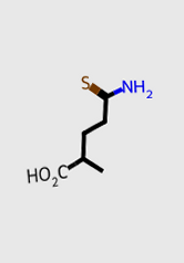 CC(CCC(N)=S)C(=O)O